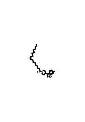 CCCCCCCC/C=C\CCCCCCCC(=O)N1CCC(c2noc3cc(F)ccc23)CC1